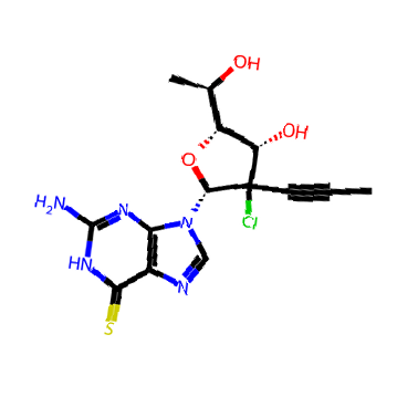 CC#CC1(Cl)[C@@H](O)[C@@H]([C@@H](C)O)O[C@H]1n1cnc2c(=S)[nH]c(N)nc21